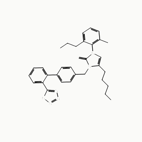 CCCCCc1cn(-c2c(C)cccc2CCC)c(=O)n1Cc1ccc(-c2ccccc2-c2nnn[nH]2)cc1